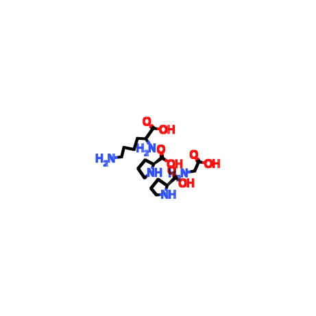 NCC(=O)O.NCCCC[C@H](N)C(=O)O.O=C(O)[C@@H]1CCCN1.O=C(O)[C@@H]1CCCN1